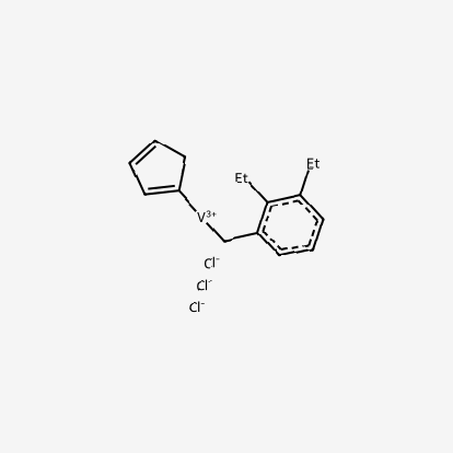 CCc1cccc([CH2][V+3][C]2=CC=CC2)c1CC.[Cl-].[Cl-].[Cl-]